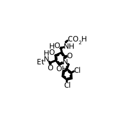 CCNC(=O)c1c(O)c(C(=O)NCC(=O)O)c(=O)n(Cc2ccc(Cl)cc2Cl)c1O